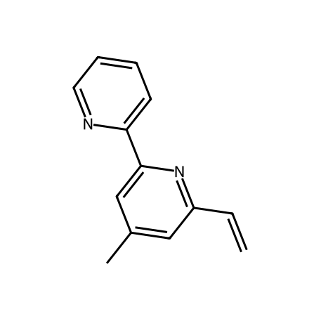 C=Cc1cc(C)cc(-c2ccccn2)n1